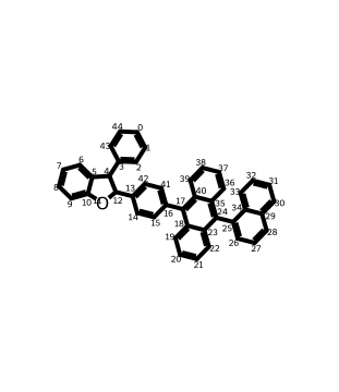 c1ccc(C2c3ccccc3OC2c2ccc(-c3c4ccccc4c(-c4cccc5ccccc45)c4ccccc34)cc2)cc1